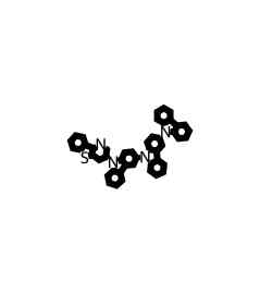 c1ccc2c(c1)sc1cc(-n3c4ccccc4c4cc(-n5c6ccccc6c6cc(-n7c8ccccc8c8ccccc87)ccc65)ccc43)cnc12